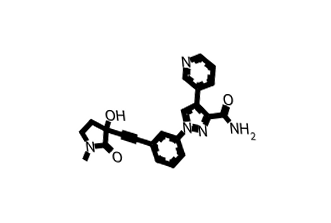 CN1CCC(O)(C#Cc2cccc(-n3cc(-c4cccnc4)c(C(N)=O)n3)c2)C1=O